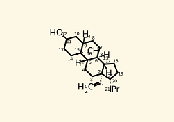 C=C[C@]12CC[C@H]3[C@@H](CC[C@H]4C[C@H](O)CC[C@@]43C)[C@@H]1CC[C@@H]2C(C)C